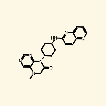 CN1CC(=O)N([C@H]2CC[C@H](Nc3ccc4ncccc4n3)CC2)c2ncncc21